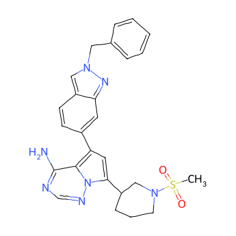 CS(=O)(=O)N1CCCC(c2cc(-c3ccc4cn(Cc5ccccc5)nc4c3)c3c(N)ncnn23)C1